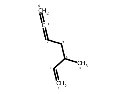 C=C=CCC(C)C=C